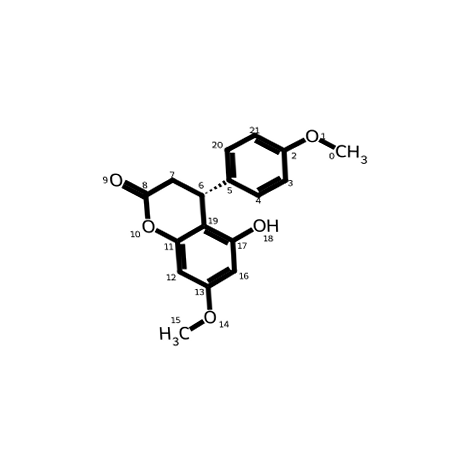 COc1ccc([C@H]2CC(=O)Oc3cc(OC)cc(O)c32)cc1